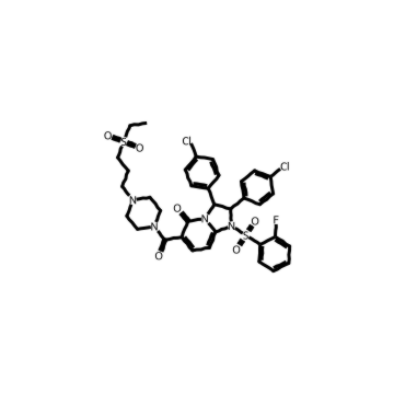 CCS(=O)(=O)CCCN1CCN(C(=O)c2ccc3n(c2=O)C(c2ccc(Cl)cc2)C(c2ccc(Cl)cc2)N3S(=O)(=O)c2ccccc2F)CC1